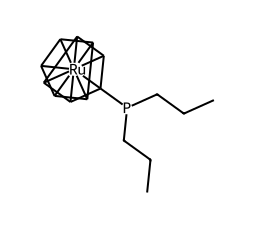 CCCP(CCC)[C]12[CH]3[CH]4[CH]5[CH]1[Ru]45321678[CH]2[CH]1[CH]6[CH]7[CH]28